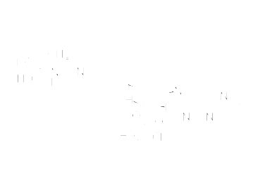 CC(C)(C)Nc1ccc2ccc(CC[C@H]3C[C@@H](n4ccc5c(N)ncnc54)[C@@H]4OC(C)(C)O[C@H]34)cc2n1